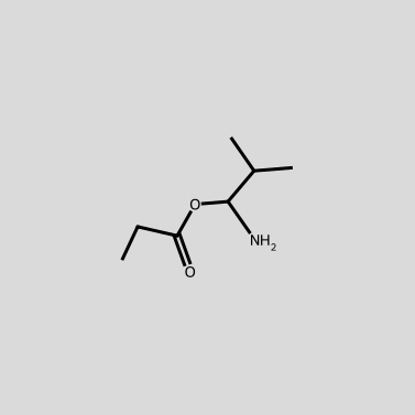 CCC(=O)OC(N)C(C)C